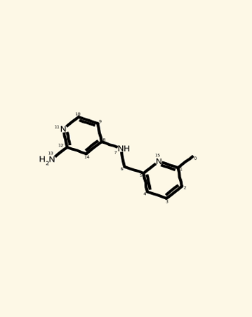 Cc1cccc(CNc2ccnc(N)c2)n1